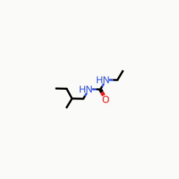 CCNC(=O)NCC(C)CC